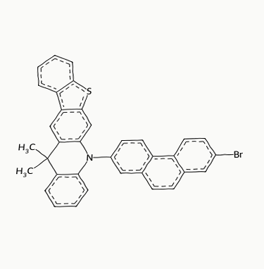 CC1(C)c2ccccc2N(c2ccc3c(ccc4cc(Br)ccc43)c2)c2cc3sc4ccccc4c3cc21